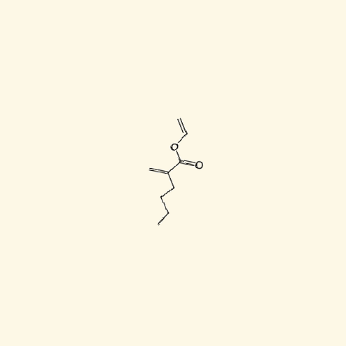 C=COC(=O)C(=C)CCCC